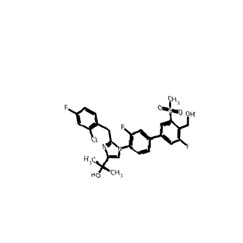 CC(C)(O)c1cn(-c2ccc(-c3cc(F)c(CO)c(S(C)(=O)=O)c3)cc2F)c(Cc2ccc(F)cc2Cl)n1